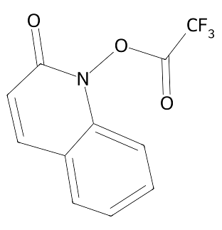 O=C(On1c(=O)ccc2ccccc21)C(F)(F)F